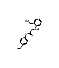 COc1ccc(NC(=O)C[AsH]c2ccccc2CO)cc1